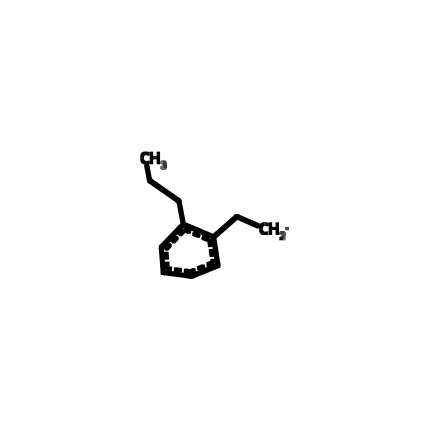 [CH2]Cc1ccccc1CCC